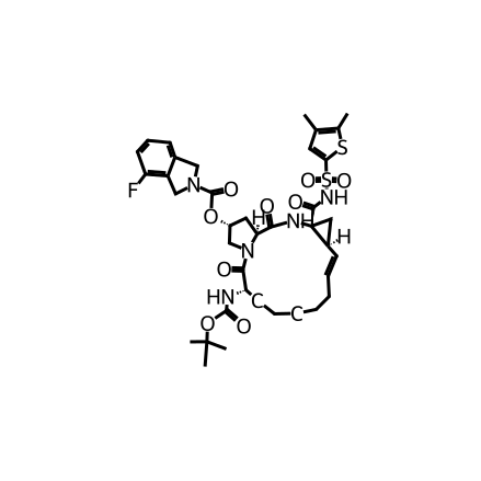 Cc1cc(S(=O)(=O)NC(=O)[C@@]23C[C@H]2/C=C\CCCCC[C@H](NC(=O)OC(C)(C)C)C(=O)N2C[C@H](OC(=O)N4Cc5cccc(F)c5C4)C[C@H]2C(=O)N3)sc1C